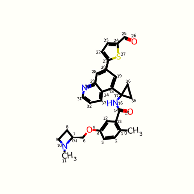 Cc1ccc(OC[C@@H]2CCN2C)cc1C(=O)NC1(c2cc(-c3ccc(C=O)s3)cc3ncccc23)CC1